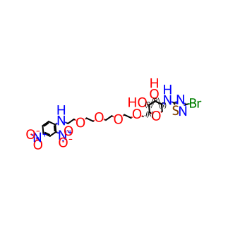 O=[N+]([O-])c1ccc(NCCOCCOCCOCCOC[C@H]2OC[C@H](Nc3nc(Br)ns3)[C@@H](O)[C@H]2O)c([N+](=O)[O-])c1